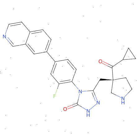 O=C(C1CC1)[C@]1(Cc2n[nH]c(=O)n2-c2ccc(-c3ccc4ccncc4c3)cc2F)CCNC1